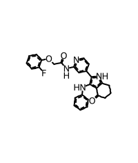 O=C(COc1ccccc1F)Nc1cc(-c2[nH]c3c(c2Nc2ccccc2)C(=O)CCC3)ccn1